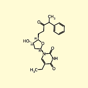 CCc1cn([C@H]2C[C@H](O)[C@@H](CCC(=O)C(C)c3ccccc3)O2)c(=O)[nH]c1=O